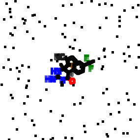 CN1C(=N)N[C@](C)(c2sccc2C#N)[C@@H](c2ccc(C(C)(F)F)cc2)C1=O